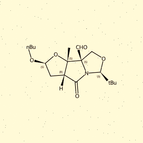 CCCCO[C@@H]1C[C@H]2C(=O)N3[C@H](C(C)(C)C)OC[C@@]3(C=O)[C@@]2(C)O1